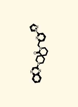 O=C1N(Cc2cccc(-n3cccn3)n2)CCCC12CCN(c1cnc3ccccc3n1)CC2